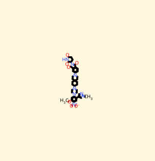 COc1cc(N2CCN(C3CCC4(CC3)CCN(c3ccc5c(c3)C(=O)N(C3CCC(=O)NC3=O)C5=O)CC4)CC2)c(-c2cnn(C)c2)cc1[N+](=O)[O-]